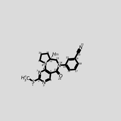 CSc1ncc2c(n1)N1CCC[C@H]1CN(c1cccc(C#N)c1)C2=O